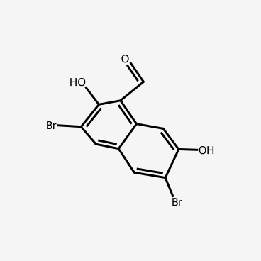 O=Cc1c(O)c(Br)cc2cc(Br)c(O)cc12